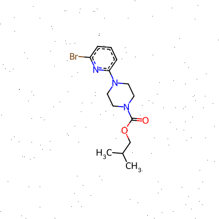 CC(C)COC(=O)N1CCN(c2cccc(Br)n2)CC1